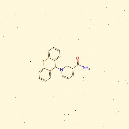 NC(=O)C1=CC=CN(C2c3ccccc3Sc3ccccc32)C1